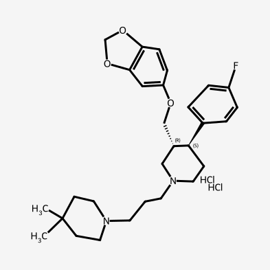 CC1(C)CCN(CCCN2CC[C@H](c3ccc(F)cc3)[C@@H](COc3ccc4c(c3)OCO4)C2)CC1.Cl.Cl